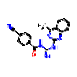 Cc1nc(NC(=N)NC(=O)c2ccc(C#N)cc2)nc2ccccc12